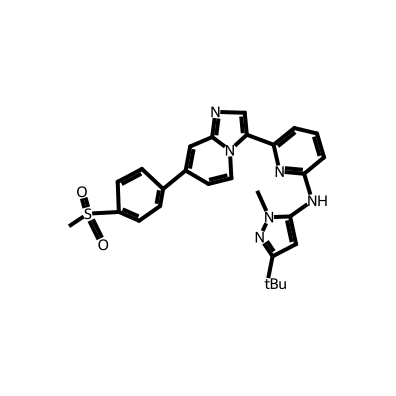 Cn1nc(C(C)(C)C)cc1Nc1cccc(-c2cnc3cc(-c4ccc(S(C)(=O)=O)cc4)ccn23)n1